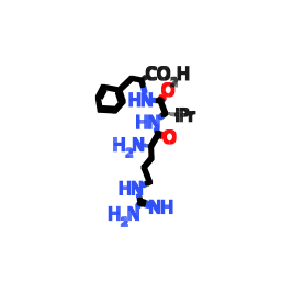 CC(C)[C@H](NC(=O)[C@@H](N)CCCNC(=N)N)C(=O)N[C@@H](Cc1ccccc1)C(=O)O